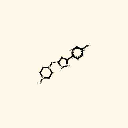 [O-][S+]1CCN(C[C@@H]2CC(c3ccc(Br)cn3)=NO2)CC1